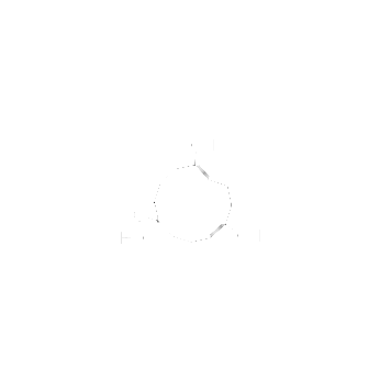 CC1=CCCC2(C)OC2CC/C(C)=C/CC1